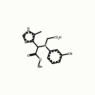 Cc1[nH]cnc1C(C(=O)OC(C)(C)C)N(CC(=O)O)c1cccc(C#N)c1